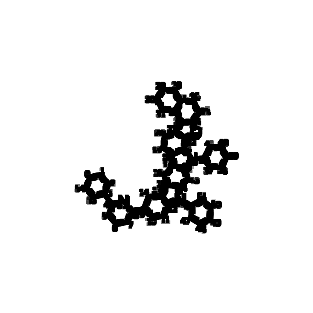 c1ccc(-c2cccc(-c3ccc4c(c3)c3cc5c6ccc7c(oc8ccc9ccccc9c87)c6n(-c6ccccc6)c5cc3n4-c3ccccc3)n2)cc1